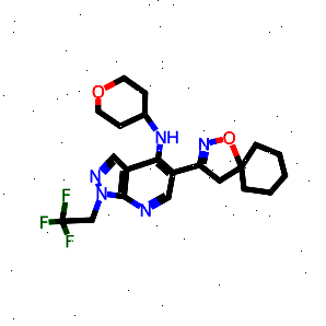 FC(F)(F)Cn1ncc2c(NC3CCOCC3)c(C3=NOC4(CCCCC4)C3)cnc21